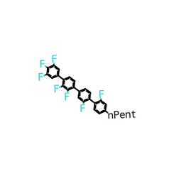 CCCCCc1ccc(-c2ccc(-c3ccc(-c4cc(F)c(F)c(F)c4)c(F)c3F)cc2F)c(F)c1